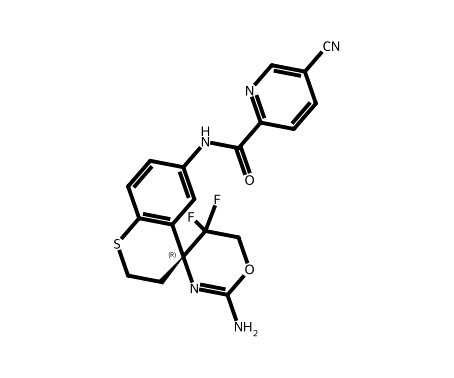 N#Cc1ccc(C(=O)Nc2ccc3c(c2)[C@@]2(CCS3)N=C(N)OCC2(F)F)nc1